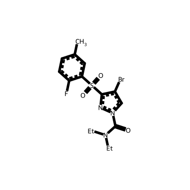 CCN(CC)C(=O)n1cc(Br)c(S(=O)(=O)c2cc(C)ccc2F)n1